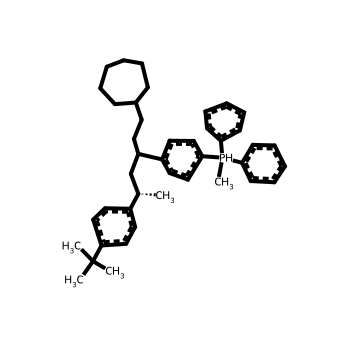 C[C@@H](CC(CCC1CCCCCC1)c1ccc([PH](C)(c2ccccc2)c2ccccc2)cc1)c1ccc(C(C)(C)C)cc1